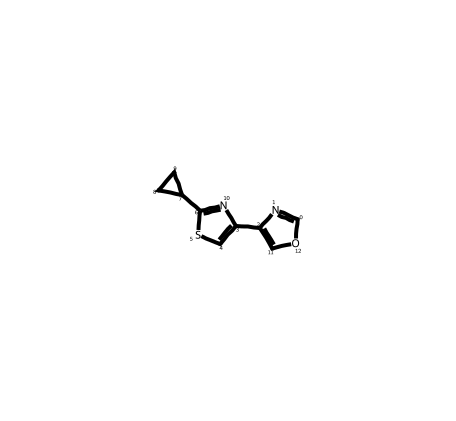 c1nc(-c2csc(C3CC3)n2)co1